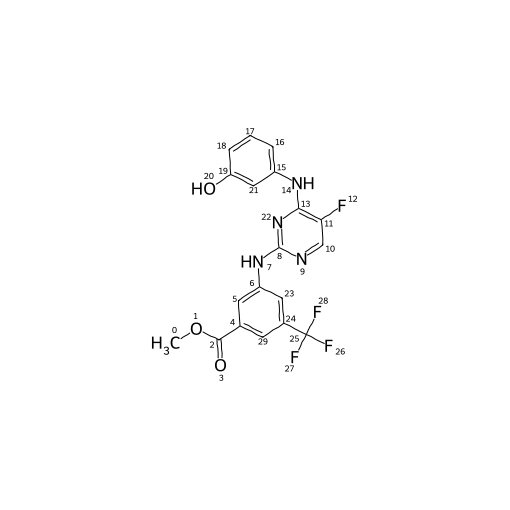 COC(=O)c1cc(Nc2ncc(F)c(Nc3cccc(O)c3)n2)cc(C(F)(F)F)c1